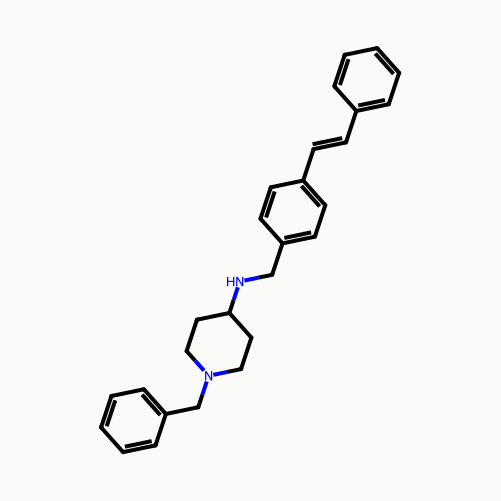 C(=Cc1ccc(CNC2CCN(Cc3ccccc3)CC2)cc1)c1ccccc1